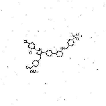 COC(=O)c1ccc(Cn2cc(-c3ccc(Cl)cc3Cl)nc2-c2ccc(-c3cccc(NCc4ccc(S(C)(=O)=O)cc4)c3)cc2)cc1